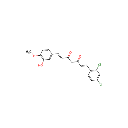 COc1ccc(/C=C/C(=O)CC(=O)/C=C/c2ccc(Cl)cc2Cl)cc1O